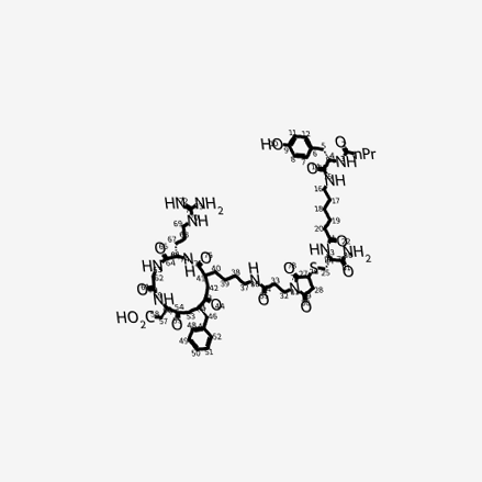 CCCC(=O)N[C@@H](Cc1ccc(O)cc1)C(=O)NCCCCCC(=O)N[C@@H](CSC1CC(=O)N(CCC(=O)NCCCCC2CC(=O)[C@@H](Cc3ccccc3)CC(=O)[C@@H](CC(=O)O)NC(=O)CNC(=O)[C@H](CCCNC(=N)N)NC2=O)C1=O)C(N)=O